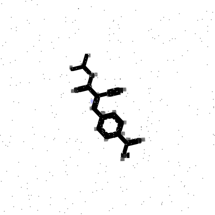 CC(C)OC(=O)/C(C#N)=C/c1ccc(C(=O)O)cc1